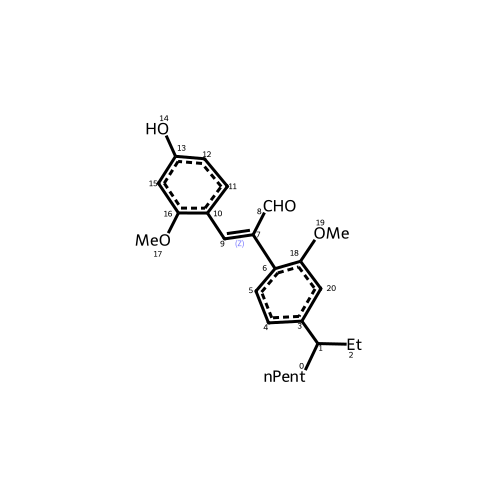 CCCCCC(CC)c1ccc(/C(C=O)=C/c2ccc(O)cc2OC)c(OC)c1